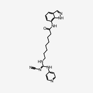 N#C/N=C(\NCCCCCCCC(=O)Nc1cccc2cn[nH]c12)Nc1ccncc1